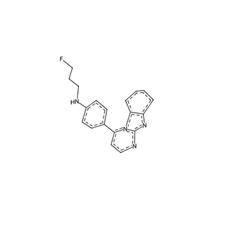 FCCCNc1ccc(-c2ccnc3nc4ccccc4n23)cc1